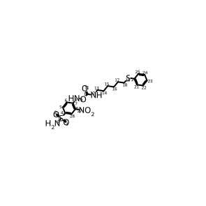 NS(=O)(=O)c1ccc(NOC(=O)NCCCCCCSc2ccccc2)c([N+](=O)[O-])c1